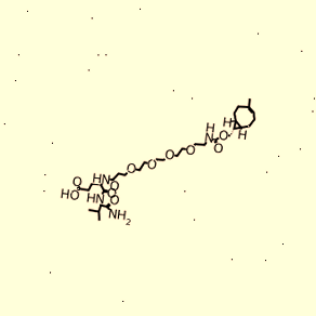 C/C1=C/CC[C@H]2[C@@H](CC1)[C@H]2COC(=O)NCCOCCOCCOCCOCCC(=O)N[C@H](CCC(=O)O)C(=O)N[C@H](C(N)=O)C(C)C